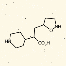 O=C(O)C(CC1CCNO1)C1CCNCC1